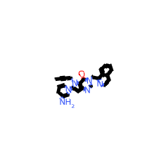 CC#CCn1c(N2CCCC(N)C2)cc2ncn(Cc3nccc4ccccc34)c(=O)c21